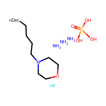 CCCCCCCCCCCCCCN1CCOCC1.F.N.N.N.O=P(O)(O)O